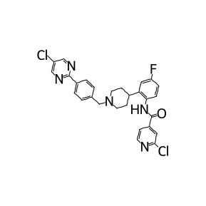 O=C(Nc1ccc(F)cc1C1CCN(Cc2ccc(-c3ncc(Cl)cn3)cc2)CC1)c1ccnc(Cl)c1